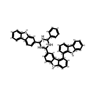 c1ccc(C2NC(c3ccc4c(c3)sc3ccccc34)NC(c3ccc4oc5cccc(-c6cccc7c6sc6ccccc67)c5c4c3)N2)cc1